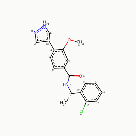 COc1cc(C(=O)N[C@@H](C)c2ccccc2Cl)ccc1-c1cn[nH]c1